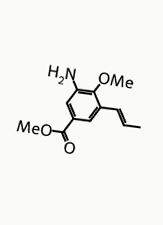 CC=Cc1cc(C(=O)OC)cc(N)c1OC